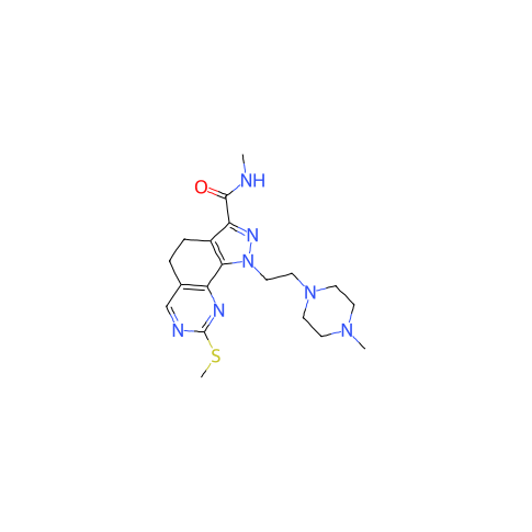 CNC(=O)c1nn(CCN2CCN(C)CC2)c2c1CCc1cnc(SC)nc1-2